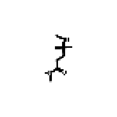 CNC(=O)CCC(C)(C)NC